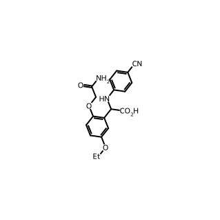 CCOc1ccc(OCC(N)=O)c(C(Nc2ccc(C#N)cc2)C(=O)O)c1